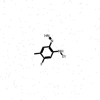 CCNc1cc(F)c(C)cc1N=N